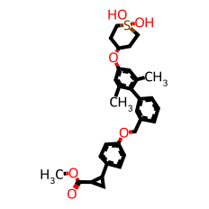 COC(=O)C1CC1c1ccc(OCc2cccc(-c3c(C)cc(OC4CCS(O)(O)CC4)cc3C)c2)cc1